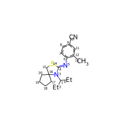 CCC(CC)N1C(=Nc2ccc(C#N)cc2C)SCC12CCCC2